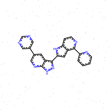 c1ccc(-c2nccc3[nH]c(-c4n[nH]c5ncc(-c6cncnc6)cc45)cc23)nc1